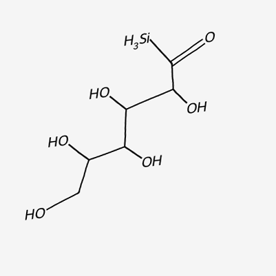 O=C([SiH3])C(O)C(O)C(O)C(O)CO